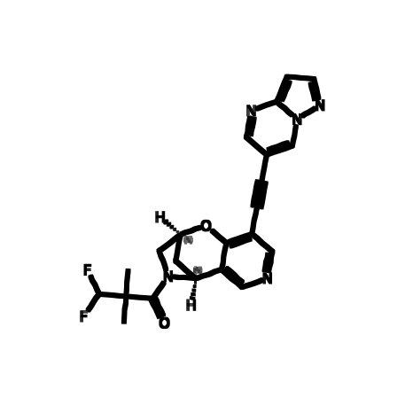 CC(C)(C(=O)N1C[C@@H]2C[C@H]1c1cncc(C#Cc3cnc4ccnn4c3)c1O2)C(F)F